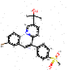 CC(C)(O)c1ccc(/C(=C\c2cccc(Br)c2)c2ccc(S(C)(=O)=O)cc2)nc1